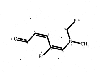 CN(/C=C(Br)\C=C/C=O)CF